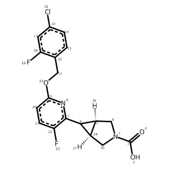 O=C(O)N1C[C@@H]2C(c3nc(OCc4ccc(Cl)cc4F)ccc3F)[C@@H]2C1